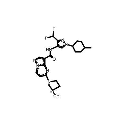 CC1CCC(n2cc(NC(=O)c3cnn4ccc(N5CC[C@@H](O)C5)nc34)c(C(F)F)n2)CC1